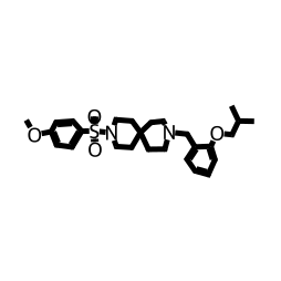 COc1ccc(S(=O)(=O)N2CCC3(CCN(Cc4ccccc4OCC(C)C)CC3)CC2)cc1